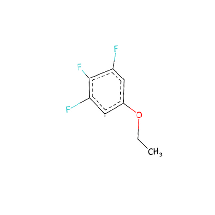 CCOc1[c]c(F)c(F)c(F)c1